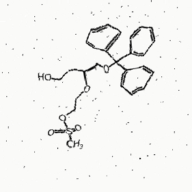 CS(=O)(=O)OCCOC(CCO)COC(c1ccccc1)(c1ccccc1)c1ccccc1